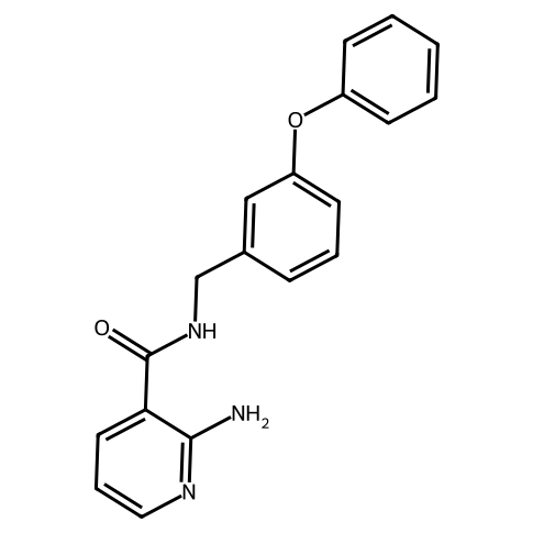 Nc1ncccc1C(=O)NCc1cccc(Oc2ccccc2)c1